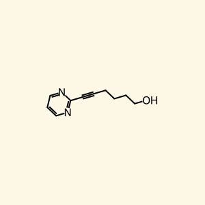 OCCCCC#Cc1ncccn1